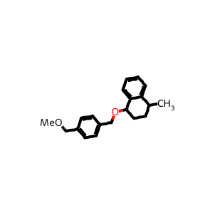 COCc1ccc(COC2CCC(C)c3ccccc32)cc1